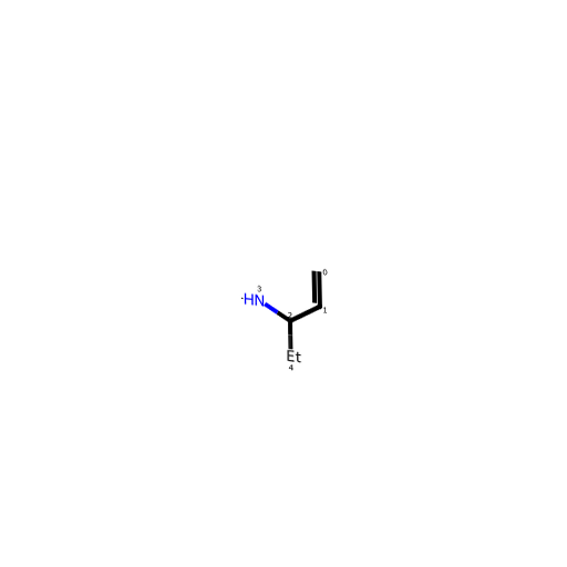 C=CC([NH])CC